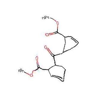 CCCOC(=O)C1C=CCC1C(=O)C1CC=CC1C(=O)OCCC